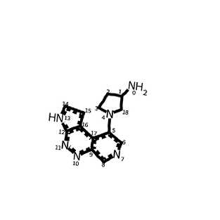 NC1CCN(c2cncc3nnc4[nH]ccc4c23)C1